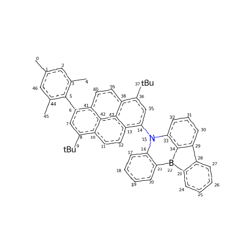 Cc1cc(C)c(-c2cc(C(C)(C)C)c3ccc4c(N5c6ccccc6B6c7ccccc7-c7cccc5c76)cc(C(C)(C)C)c5ccc2c3c45)c(C)c1